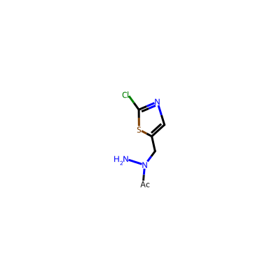 CC(=O)N(N)Cc1cnc(Cl)s1